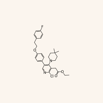 CCOC(=O)Cc1c(Cl)ncc(-c2ccc(OCCc3ccc(F)cc3)cc2)c1N1CCC(C)(C)CC1